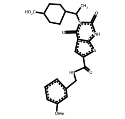 COc1cccc(CNC(=O)c2cc3c(=O)n(C(C)C4CCC(C(=O)O)CC4)c(=O)[nH]c3s2)c1